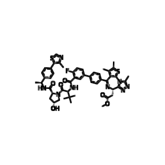 COC(=O)C[C@@H]1N=C(c2ccc(-c3ccc(F)c(C(=O)NC(C(=O)N4C[C@H](O)C[C@H]4C(=O)N[C@@H](C)c4ccc(-c5scnc5C)cc4)C(C)(C)C)c3)cc2)c2c(sc(C)c2C)-n2c(C)nnc21